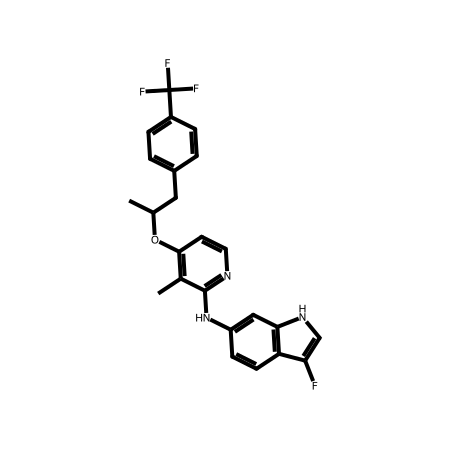 Cc1c(OC(C)Cc2ccc(C(F)(F)F)cc2)ccnc1Nc1ccc2c(F)c[nH]c2c1